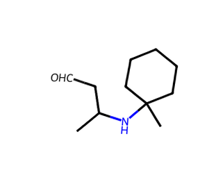 CC(CC=O)NC1(C)CCCCC1